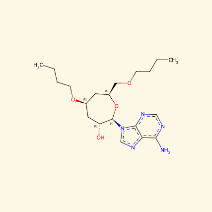 CCCCOC[C@@H]1C[C@H](OCCCC)C[C@@H](O)[C@H](n2cnc3c(N)ncnc32)O1